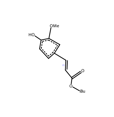 CCC(C)OC(=O)/C=C/c1ccc(O)c(OC)c1